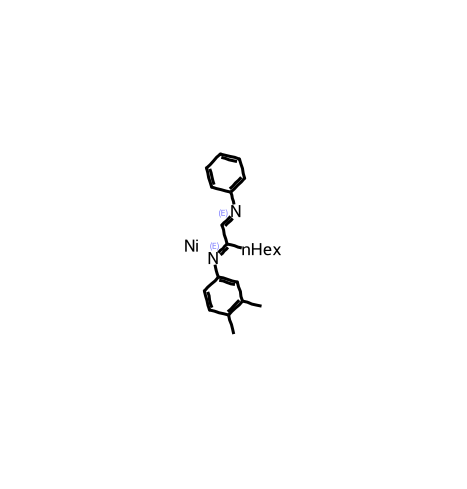 CCCCCCC(/C=N/c1ccccc1)=N\c1ccc(C)c(C)c1.[Ni]